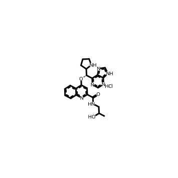 CC(O)CNC(=O)c1cc(O[C@@H](c2ncnc3[nH]cnc23)C2CCCN2)c2ccccc2n1.Cl